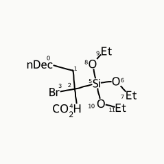 CCCCCCCCCCCC(Br)(C(=O)O)[Si](OCC)(OCC)OCC